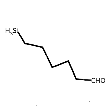 O=CCCCCC[SiH3]